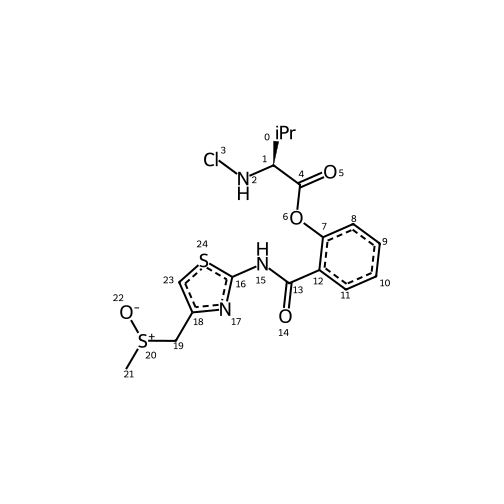 CC(C)[C@H](NCl)C(=O)Oc1ccccc1C(=O)Nc1nc(C[S+](C)[O-])cs1